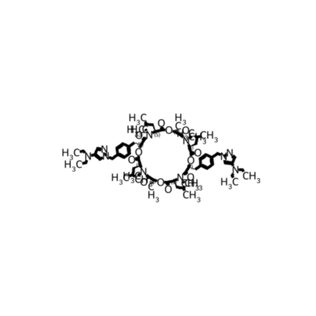 CCN(CC)c1cnn(Cc2ccc(C[C@H]3OC(=O)[C@H](CC(C)C)N(C)C(=O)[C@@H](C)OC(=O)[C@H](CC(C)C)N(C)C(=O)[C@@H](Cc4ccc(Cn5cc(N(CC)CC)cn5)cc4)OC(=O)[C@H](CC(C)C)N(C)C(=O)[C@@H](C)OC(=O)[C@H](CC(C)C)N(C)C3=O)cc2)c1